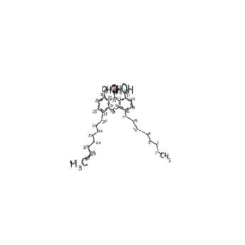 CCCCCCCCc1ccc(O)c(CO)c1Sc1c(CCCCCCCC)ccc(O)c1CO